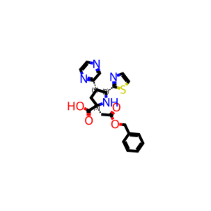 O=C(C[C@]1(C(=O)O)C[C@H](c2cnccn2)[C@H](c2nccs2)N1)OCc1ccccc1